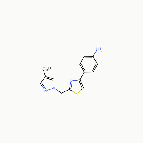 CCOC(=O)c1cnn(Cc2nc(-c3ccc(N)cc3)cs2)c1